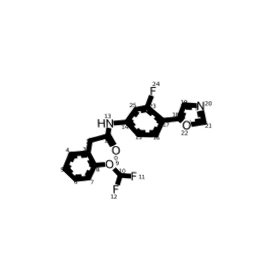 O=C(Cc1ccccc1OC(F)F)Nc1ccc(-c2cnco2)c(F)c1